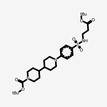 CC(C)(C)OC(=O)CCNS(=O)(=O)c1ccc(N2CCC(C3CCN(C(=O)OC(C)(C)C)CC3)CC2)cc1